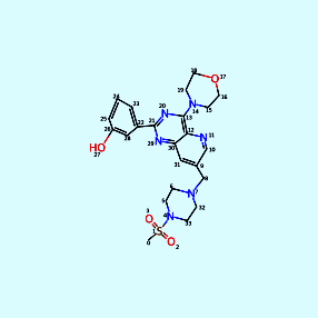 CS(=O)(=O)N1CCN(Cc2cnc3c(N4CCOCC4)nc(-c4cccc(O)c4)nc3c2)CC1